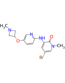 CN1CC(Oc2ccc(Nc3cc(Br)cn(C)c3=O)nc2)C1